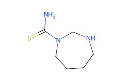 NC(=S)N1CCCCNC1